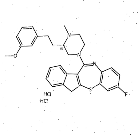 COc1cccc(CC[C@H]2CN(C3=Nc4ccc(F)cc4SC4=C3c3ccccc3C4)CCN2C)c1.Cl.Cl